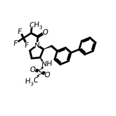 CC(C(=O)N1CC[C@H](NS(C)(=O)=O)[C@@H]1Cc1cccc(-c2ccccc2)c1)C(F)(F)F